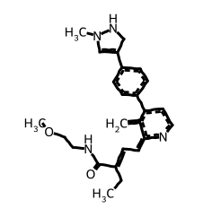 C=c1c(-c2ccc(C3=CN(C)NC3)cc2)ccn/c1=C/C=C(\CC)C(=O)NCCOC